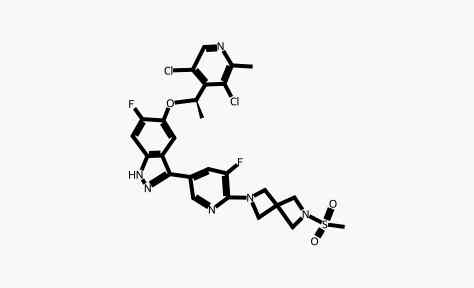 Cc1ncc(Cl)c([C@@H](C)Oc2cc3c(-c4cnc(N5CC6(C5)CN(S(C)(=O)=O)C6)c(F)c4)n[nH]c3cc2F)c1Cl